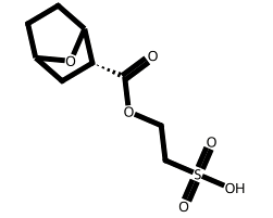 O=C(OCCS(=O)(=O)O)[C@@H]1CC2CCC1O2